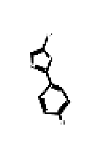 Clc1ccc(-c2ncc(Br)s2)cc1